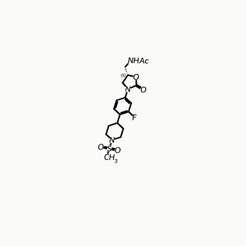 CC(=O)NC[C@H]1CN(c2ccc(C3CCN(S(C)(=O)=O)CC3)c(F)c2)C(=O)O1